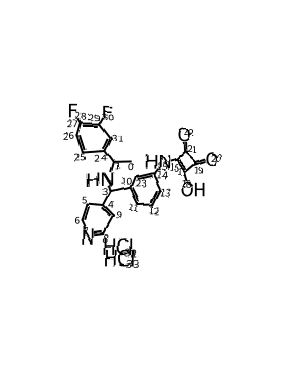 CC(NC(c1ccncc1)c1cccc(Nc2c(O)c(=O)c2=O)c1)c1ccc(F)c(F)c1.Cl.Cl